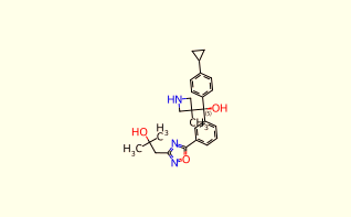 CC(C)(O)Cc1noc(-c2cccc([C@@](O)(c3ccc(C4CC4)cc3)C3(C)CNC3)c2)n1